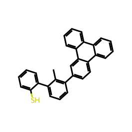 Cc1c(-c2ccc3c4ccccc4c4ccccc4c3c2)cccc1-c1ccccc1S